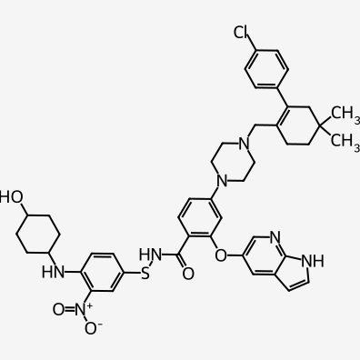 CC1(C)CCC(CN2CCN(c3ccc(C(=O)NSc4ccc(NC5CCC(O)CC5)c([N+](=O)[O-])c4)c(Oc4cnc5[nH]ccc5c4)c3)CC2)=C(c2ccc(Cl)cc2)C1